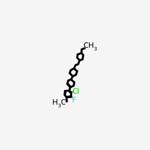 CCCC1CCC(CCC2CCC(C3CC=C(c4ccc(CC)c(F)c4Cl)CC3)CC2)CC1